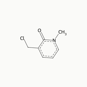 Cn1cccc(CCl)c1=O